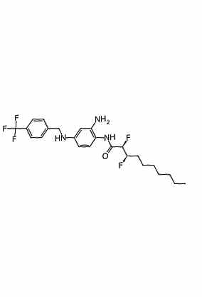 CCCCCCC[C@@H](F)[C@H](F)C(=O)Nc1ccc(NCc2ccc(C(F)(F)F)cc2)cc1N